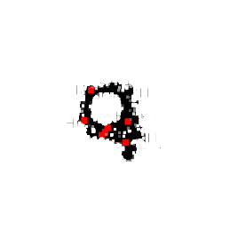 CCC(C)CCCCCCCCC(=O)NC(Cc1c[nH]c2ccccc12)C(=O)NC(CC(N)=O)C(=O)NC(CC(=O)O)C(=O)NC1C(=O)NCC(=O)NC(CCCN)C(=O)NC(CC(=O)O)C(=O)NC(C)C(=O)NC(CC(=O)O)C(=O)NCC(=O)NC(CO)C(=O)NC(CCC(=O)O)C(=O)NC(C(C)C)C(=O)OC1C